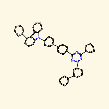 c1ccc(-c2cccc(-c3nc(-c4ccccc4)nc(-c4ccc(-c5ccc(-n6c7ccccc7c7c(-c8ccccc8)cccc76)cc5)cc4)n3)c2)cc1